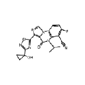 CC(C)n1c(=O)c2c(-c3nc(C4(O)CC4)no3)ncn2c2ccc(F)c(C#N)c21